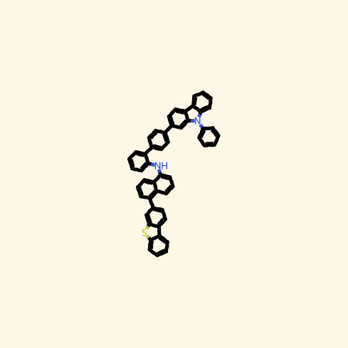 c1ccc(-n2c3ccccc3c3ccc(-c4ccc(-c5ccccc5Nc5cccc6c(-c7ccc8c(c7)sc7ccccc78)cccc56)cc4)cc32)cc1